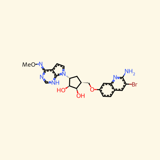 CO/N=c1\nc[nH]c2c1ccn2[C@@H]1C[C@H](COc2ccc3cc(Br)c(N)nc3c2)[C@@H](O)[C@H]1O